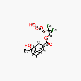 CCC1(O)C2CC3CC1CC(C(=O)OCC(F)(F)SOOO)(C3)C2